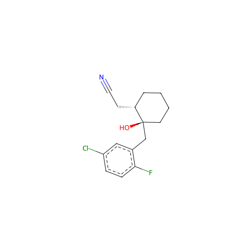 N#CC[C@@H]1CCCC[C@]1(O)Cc1cc(Cl)ccc1F